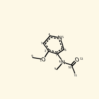 COc1ccn[c]c1N(C)C(C)=O